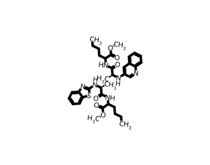 CCCCC(NC(=O)[C@H](C)Nc1cnc2ccccc2c1)C(=O)OC.CCCCC(NC(=O)[C@H](C)Nc1nc2ccccc2s1)C(=O)OC